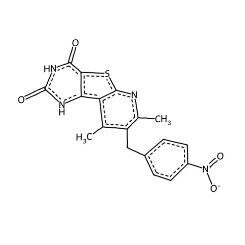 Cc1nc2sc3c(=O)[nH]c(=O)[nH]c3c2c(C)c1Cc1ccc([N+](=O)[O-])cc1